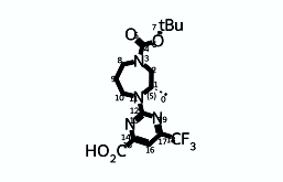 C[C@H]1CN(C(=O)OC(C)(C)C)CCCN1c1nc(C(=O)O)cc(C(F)(F)F)n1